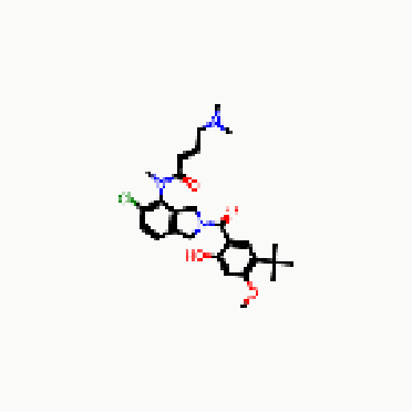 COc1cc(O)c(C(=O)N2Cc3ccc(Cl)c(N(C)C(=O)/C=C/CN(C)C)c3C2)cc1C(C)(C)C